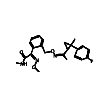 CNC(=O)C(=NOC)c1ccccc1CON=C(C)C1CC1(C)c1ccc(F)cc1